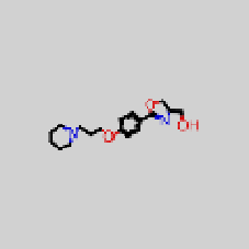 OCC1COC(c2ccc(OCCCN3CCCCC3)cc2)=N1